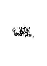 Cc1cc(Nc2nc(N[C@H](C)C(N)=O)nnc2C(N)=O)c2ccn([C@@H]3CCN(CC(F)(F)F)C3)c2c1